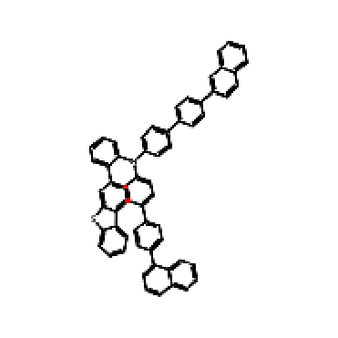 c1ccc(N(c2ccc(-c3ccc(-c4ccc5ccccc5c4)cc3)cc2)c2ccc(-c3ccc(-c4cccc5ccccc45)cc3)cc2)c(-c2ccc3c(c2)sc2ccccc23)c1